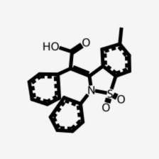 Cc1ccc2c(c1)/C(=C(\C(=O)O)c1ccccc1)N(c1ccccc1)S2(=O)=O